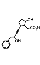 O=C(O)CC1C(O)CCC1C#CC(O)Cc1ccccc1